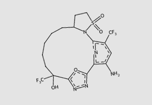 Nc1cc(C(F)(F)F)c2nc1-c1nnc(o1)C(O)(C(F)(F)F)CCCCCC1CCS(=O)(=O)N21